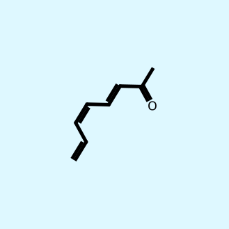 C=C/C=C\C=C\C(C)=O